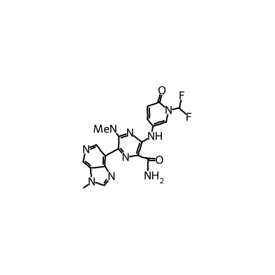 CNc1nc(Nc2ccc(=O)n(C(F)F)c2)c(C(N)=O)nc1-c1cncc2c1ncn2C